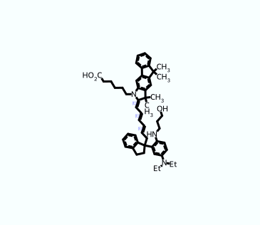 CCN(CC)c1ccc(NCCCO)c(C2(C/C=C/C=C/C=C3/N(CCCCCC(=O)O)c4cc5c(cc4C3(C)C)C(C)(C)c3ccccc3-5)CCc3ccccc32)c1